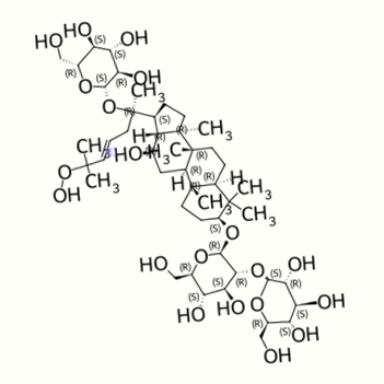 CC(C)(/C=C/C[C@@](C)(O[C@@H]1O[C@H](CO)[C@@H](O)[C@H](O)[C@H]1O)[C@H]1CC[C@]2(C)[C@@H]1[C@H](O)C[C@@H]1[C@@]3(C)CC[C@H](O[C@@H]4O[C@H](CO)[C@@H](O)[C@H](O)[C@H]4O[C@@H]4O[C@H](CO)[C@@H](O)[C@H](O)[C@H]4O)C(C)(C)[C@@H]3CC[C@]12C)OO